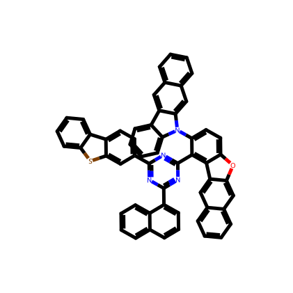 c1ccc2cc3c(cc2c1)oc1ccc(-n2c4ccccc4c4cc5ccccc5cc42)c(-c2nc(-c4ccc5c(c4)sc4ccccc45)nc(-c4cccc5ccccc45)n2)c13